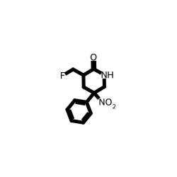 O=C1NCC(c2ccccc2)([N+](=O)[O-])CC1CF